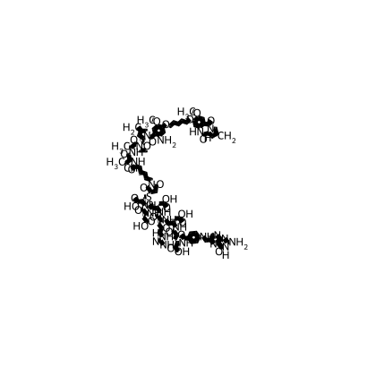 C=C1C[C@H]2C(=O)Nc3cc(OCCCCCOc4cc(N)c(C(=O)N5CC(=C)C[C@H]5C5OCCN5C(=O)[C@H](C)NC(=O)[C@@H](NC(=O)CCCCCN5C(=O)CC(SC[C@H](NC(=O)[C@H](CC(=O)O)NC(=O)[C@H](CC(=O)O)NC(=O)[C@H](CCCNC(=N)N)NC(=O)[C@H](CC(=O)O)NC(=O)CC[C@H](NC(=O)c6ccc(NCc7cnc8nc(N)[nH]c(=O)c8n7)cc6)C(=O)O)C(=O)O)C5=O)C(C)C)cc4OC)c(OC)cc3C(=O)N2C1